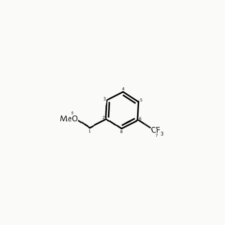 [CH2]OCc1cccc(C(F)(F)F)c1